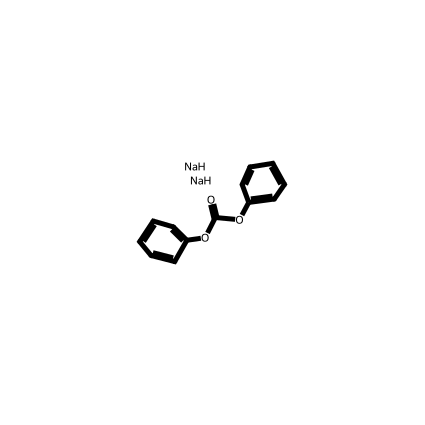 O=C(Oc1ccccc1)Oc1ccccc1.[NaH].[NaH]